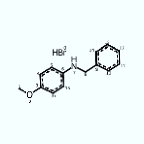 Br.COc1ccc(NCc2ccccc2)cc1